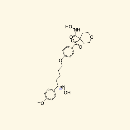 COc1ccc(/C(CCCCOc2ccc(S(=O)(=O)C3(C(=O)NO)CCOCC3)cc2)=N\O)cc1